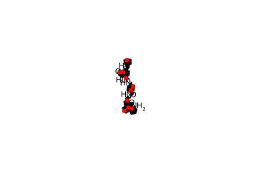 NC(=O)C(c1ccccc1)(c1ccccc1)[C@@H]1CCN(CCNC(=O)c2ccc(CNC[C@H](O)c3ccc(OCc4ccccc4)c4[nH]c(=O)ccc34)cc2)C1